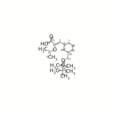 CC(C)O/C(=C\c1cccc(CO[Si](C)(C)C(C)(C)C)c1)C(=O)O